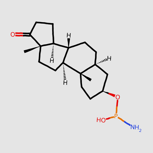 C[C@]12CC[C@H](OP(N)O)C[C@@H]1CC[C@@H]1[C@@H]2CC[C@]2(C)C(=O)CC[C@@H]12